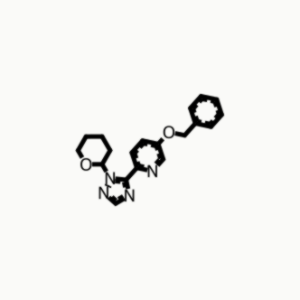 c1ccc(COc2ccc(-c3ncnn3C3CCCCO3)nc2)cc1